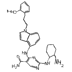 NC(=O)c1cnc(NC2CCCCC2N)nc1Nc1cccc2c1ccn2CCc1ccccc1O